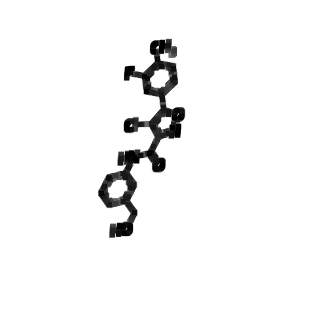 Cc1ccc(-c2onc(C(=O)Nc3cccc(CO)c3)c2Cl)cc1F